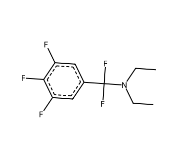 CCN(CC)C(F)(F)c1cc(F)c(F)c(F)c1